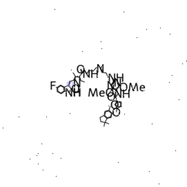 COc1nc(NCCCN(C)CCCNC(=O)c2c(C)[nH]c(/C=C3\C(=O)Nc4ccc(F)cc43)c2C)nc(OC)c1NC(=O)c1ccc(Oc2cc3c(cc2C)CCC3(C)C)o1